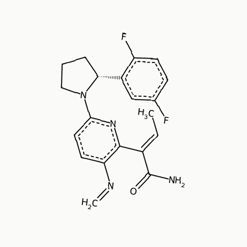 C=Nc1ccc(N2CCC[C@@H]2c2cc(F)ccc2F)nc1/C(=C\C)C(N)=O